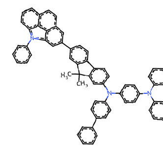 CC1(C)c2cc(-c3cc4ccc5cccc6c5c4c(c3)n6-c3ccccc3)ccc2-c2ccc(N(c3ccc(-c4ccccc4)cc3)c3ccc(N(c4ccccc4)c4ccccc4)cc3)cc21